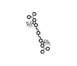 CC1(C)c2cc(/C=C/c3ccc(/C=C/c4ccc5c(c4)C(C)(C)c4cc(N(c6ccccc6)C6C=CC=CC6)ccc4-5)cc3)ccc2-c2ccc(N(C3=CC=CCC3)c3ccccc3)cc21